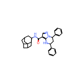 O=C(NC12CC3CC4CC(C1)C4(C3)C2)c1cnn2c1NC(c1ccccc1)CC2c1ccccc1